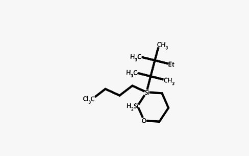 CCC(C)(C)C(C)(C)[Si]1(CCCC(Cl)(Cl)Cl)CCCO[SiH2]1